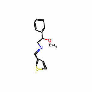 COC(CN=Cc1ccsc1)c1ccccc1